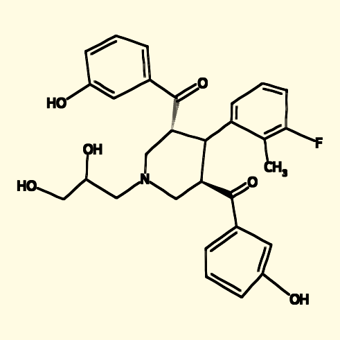 Cc1c(F)cccc1C1[C@@H](C(=O)c2cccc(O)c2)CN(CC(O)CO)C[C@@H]1C(=O)c1cccc(O)c1